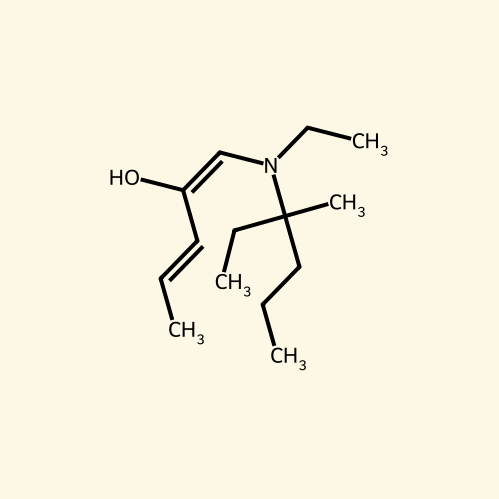 C/C=C/C(O)=C\N(CC)C(C)(CC)CCC